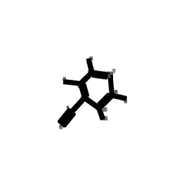 C#Cc1c(C)c(C)nc(C)c1C